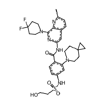 Cc1ccc2cc(NC(=O)c3ccc(NS(=O)(=O)CCO)cc3N3CCC4(CC3)CC4)nc(N3CCC(F)(F)CC3)c2n1